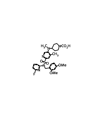 COc1ccc(CN(c2cccc(F)n2)S(=O)(=O)c2cc(C)c(N(C)C3CCN(C(=O)O)CC3)cn2)c(OC)c1